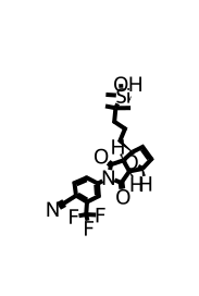 CC(C)(CCC[C@@]12C=C[C@@H](O1)[C@H]1C(=O)N(c3ccc(C#N)c(C(F)(F)F)c3)C(=O)[C@H]12)[Si](C)(C)O